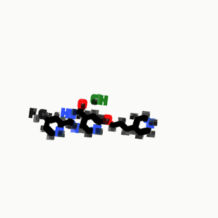 Cl.O=c1[nH]c(-c2cc(C(F)(F)F)ccn2)nc2cnc(OCCCc3ccncc3)cc12